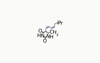 Cc1[nH]c(=O)[nH]c(=O)c1/C=C\C=C/CC(C)C